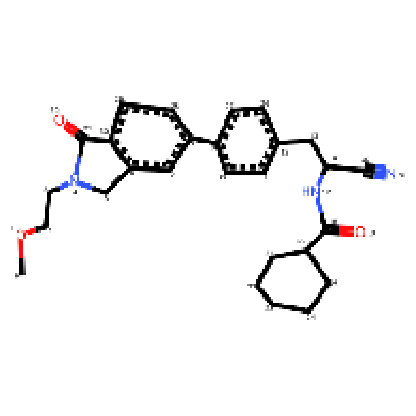 COCCN1Cc2cc(-c3ccc(CC(C#N)NC(=O)C4CCCCC4)cc3)ccc2C1=O